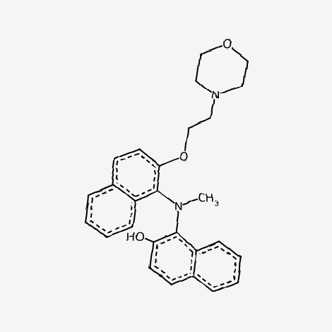 CN(c1c(O)ccc2ccccc12)c1c(OCCN2CCOCC2)ccc2ccccc12